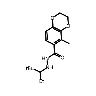 CCC(NNC(=O)c1ccc2c(c1C)OCCO2)C(C)(C)C